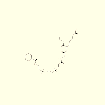 CCNC(=O)C(CCCNC(N)=O)NC(=O)CNC(=O)COC(C)(C)CCOC(C)(C)CCNC(=O)C1CCCCC1